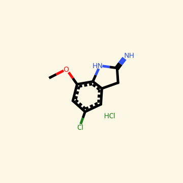 COc1cc(Cl)cc2c1NC(=N)C2.Cl